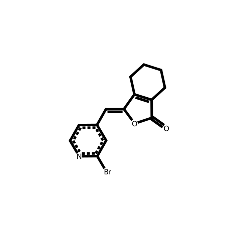 O=C1O/C(=C\c2ccnc(Br)c2)C2=C1CCCC2